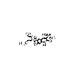 CCCN(CCC)S(=O)(=O)c1cc2cc(P(=O)(O)O)c(=O)[nH]c2cc1Cl